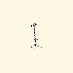 C=C(C)C(=O)OCCOC(=O)CCCCCCCCCCC(=O)O